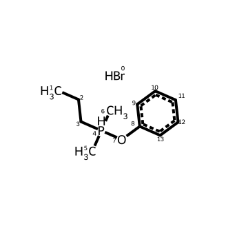 Br.CCC[PH](C)(C)Oc1ccccc1